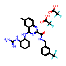 Cc1ccc2nc(C(=O)NCc3cccc(C(F)(F)F)c3)nc(NC3CCCCC3NC(=N)N)c2c1.O=C(O)C(F)(F)F.O=C(O)C(F)(F)F